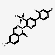 CCS(=O)(=O)c1cc(-c2ccc(F)cc2F)cnc1-n1ncc2cc(C(F)(F)F)ccc2c1=O